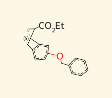 CCOC(=O)C1C[C@]12Cc1ccc(OCc3ccccc3)cc12